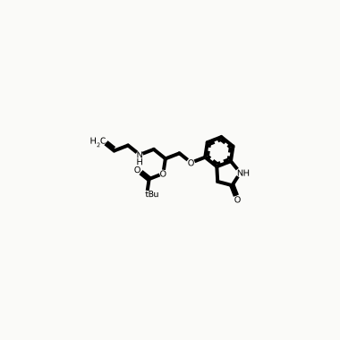 C=CCNCC(COc1cccc2c1CC(=O)N2)OC(=O)C(C)(C)C